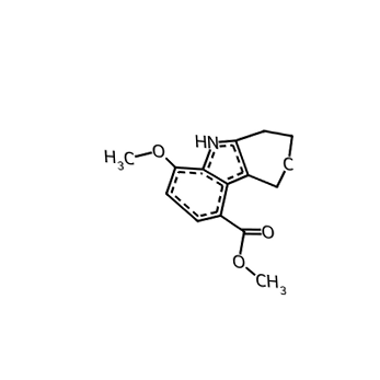 COC(=O)c1ccc(OC)c2[nH]c3c(c12)CCCC3